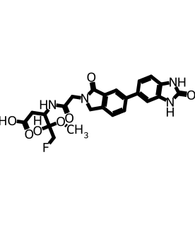 COC(O)(CF)C(CC(=O)O)NC(=O)CN1Cc2ccc(-c3ccc4[nH]c(=O)[nH]c4c3)cc2C1=O